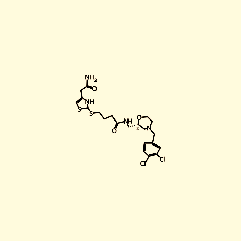 NC(=O)CC1=CSC(SCCCC(=O)NC[C@H]2CN(Cc3ccc(Cl)c(Cl)c3)CCO2)N1